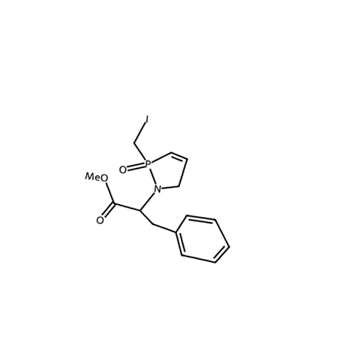 COC(=O)C(Cc1ccccc1)N1CC=CP1(=O)CI